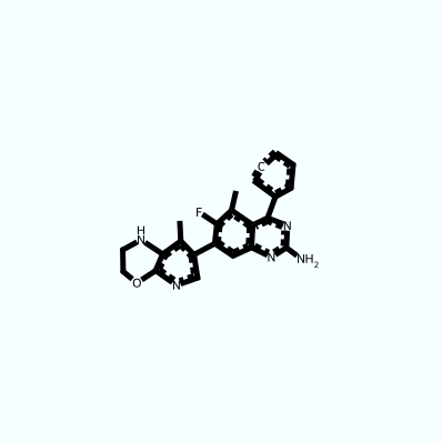 Cc1c(-c2cc3nc(N)nc(-c4ccccc4)c3c(C)c2F)cnc2c1NCCO2